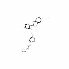 COc1ccc(C2CCc3cc(O)ccc3C2)c(NCCc2ccc(OCCN3CCCC3)c(F)c2)c1